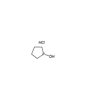 Cl.OP1CCCC1